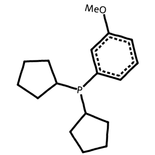 COc1cccc(P(C2CCCC2)C2CCCC2)c1